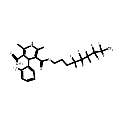 COC(=O)C1=C(C)NC(C)=C(C(=O)OCCCC(F)(F)C(F)(F)C(F)(F)C(F)(F)C(F)(F)C(F)(F)F)C1c1ccccc1C(F)(F)F